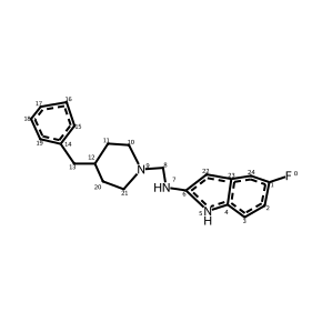 Fc1ccc2[nH]c(NCN3CCC(Cc4ccccc4)CC3)cc2c1